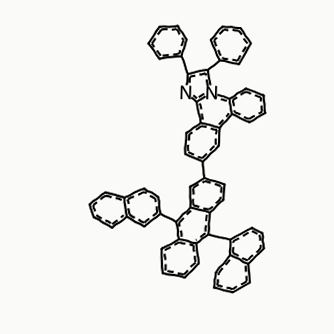 c1ccc(-c2nc3c4ccc(-c5ccc6c(-c7cccc8ccccc78)c7ccccc7c(-c7ccc8ccccc8c7)c6c5)cc4c4ccccc4n3c2-c2ccccc2)cc1